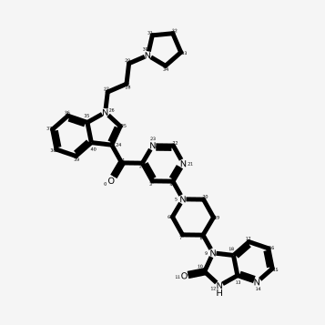 O=C(c1cc(N2CCC(n3c(=O)[nH]c4ncccc43)CC2)ncn1)c1cn(CCCN2CCCC2)c2ccccc12